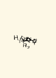 CC(C)(C)C1=CC(c2cccnc2)=CC1